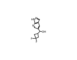 OC(c1cnc2[nH]ncc2c1)C1CC(F)(F)C1